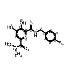 CN(C)C(=O)c1cc(O)c(O)c(C(=O)NCc2ccc(F)cc2)n1